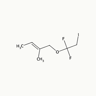 C/C=C(\C)COC(F)(F)CI